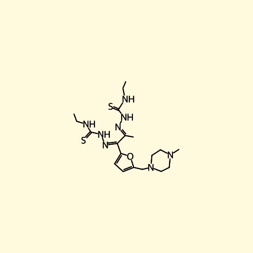 CCNC(=S)N/N=C(C)/C(=N\NC(=S)NCC)c1ccc(CN2CCN(C)CC2)o1